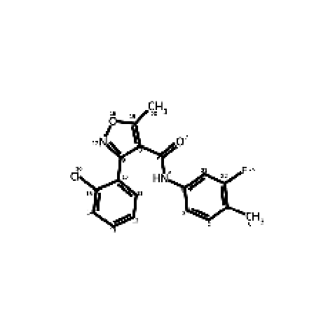 Cc1ccc(NC(=O)c2c(-c3ccccc3Cl)noc2C)cc1F